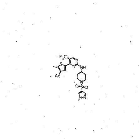 CC(=O)c1cc(-c2nc(NC3CCN(S(=O)(=O)c4cnn(C)c4)CC3)ncc2C(F)(F)F)sc1C